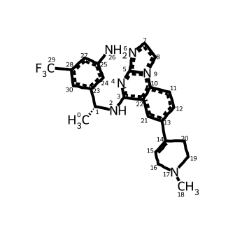 C[C@@H](Nc1nc2nccn2c2ccc(C3=CCN(C)CC3)cc12)c1cc(N)cc(C(F)(F)F)c1